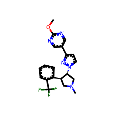 COc1ncc(-c2ccn([C@@H]3CN(C)C[C@H]3c3ccccc3C(F)(F)F)n2)cn1